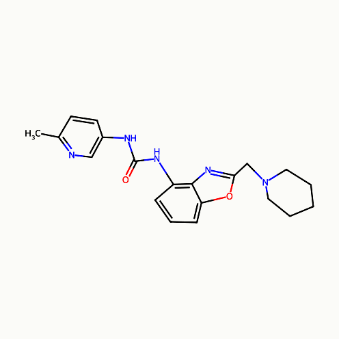 Cc1ccc(NC(=O)Nc2cccc3oc(CN4CCCCC4)nc23)cn1